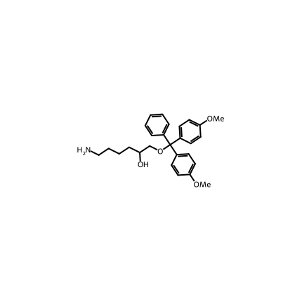 COc1ccc(C(OCC(O)CCCCN)(c2ccccc2)c2ccc(OC)cc2)cc1